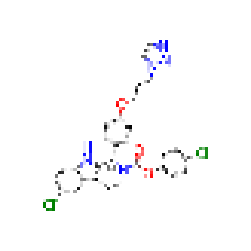 O=C(Oc1ccc(Cl)cc1)N1CCc2c([nH]c3ccc(Cl)cc23)[C@@H]1c1ccc(OCCCn2ccnn2)cc1